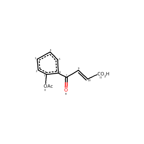 CC(=O)Oc1ccccc1C(=O)C=CC(=O)O